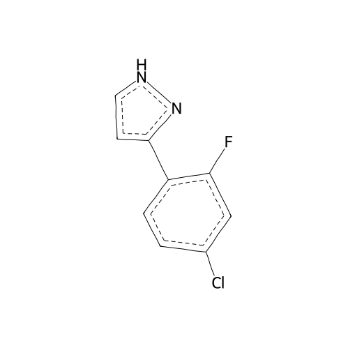 Fc1cc(Cl)ccc1-c1cc[nH]n1